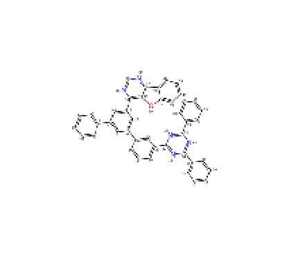 c1ccc(-c2cc(-c3cccc(-c4nc(-c5ccccc5)nc(-c5ccccc5)n4)c3)cc(-c3ncnc4c3oc3ccccc34)c2)cc1